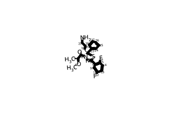 CO[C@@H](C)C(=O)N1N=C(c2cc(F)ccc2F)S[C@]1(CCCN)c1ccccc1